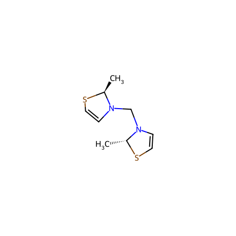 C[C@@H]1SC=CN1CN1C=CS[C@@H]1C